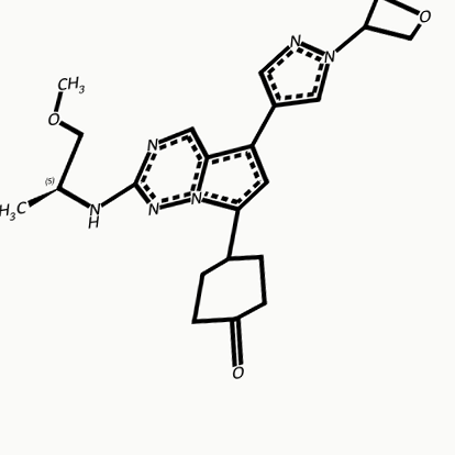 COC[C@H](C)Nc1ncc2c(-c3cnn(C4COC4)c3)cc(C3CCC(=O)CC3)n2n1